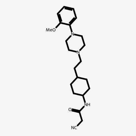 COc1ccccc1N1CCN(CCC2CCC(NC(=O)CC#N)CC2)CC1